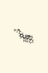 CC1CCCCN1C(=N)NC(=N)Nc1ccc(CCN)cc1